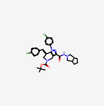 CC(C)(C)OC(=O)N1CC(=Cc2ccc(F)cc2)c2c(c(C(=O)NN3CC4CCCC4C3)nn2-c2ccc(Cl)cc2)C1